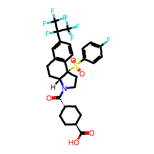 O=C(O)[C@H]1CC[C@H](C(=O)N2CC[C@@]3(S(=O)(=O)c4ccc(F)cc4)c4ccc(C(F)(C(F)(F)F)C(F)(F)F)cc4CC[C@@H]23)CC1